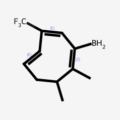 BC1=C(\C)C(C)C/C=C/C(C(F)(F)F)=C\1